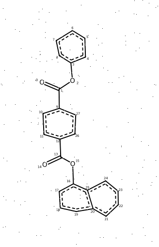 O=C(Oc1ccccc1)c1ccc(C(=O)Oc2cccc3ccccc23)cc1